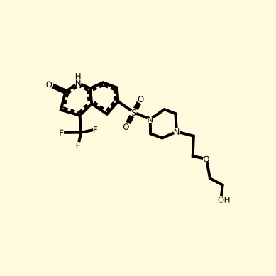 O=c1cc(C(F)(F)F)c2cc(S(=O)(=O)N3CCN(CCOCCO)CC3)ccc2[nH]1